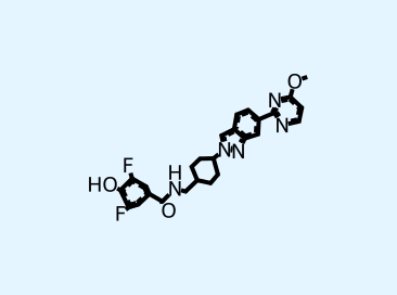 COc1ccnc(-c2ccc3cn(C4CCC(CNC(=O)c5cc(F)c(O)c(F)c5)CC4)nc3c2)n1